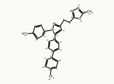 Cc1ccc(-n2nc(CCc3nnc(C)o3)cc2-c2ccc(-c3ccc(C(F)(F)F)cc3)cc2)cc1